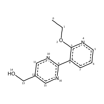 CCOc1ncccc1-c1ncc(CO)cn1